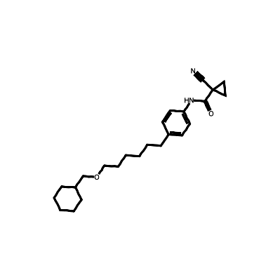 N#CC1(C(=O)Nc2ccc(CCCCCCOCC3CCCCC3)cc2)CC1